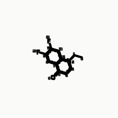 CCn1ccc(=O)c2cc(F)c(F)cc21